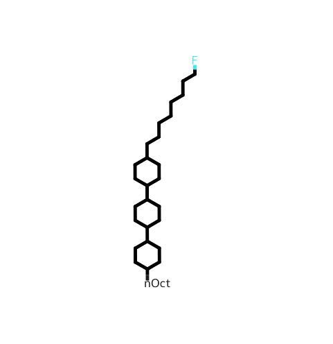 CCCCCCCCC1CCC(C2CCC(C3CCC(CCCCCCCCF)CC3)CC2)CC1